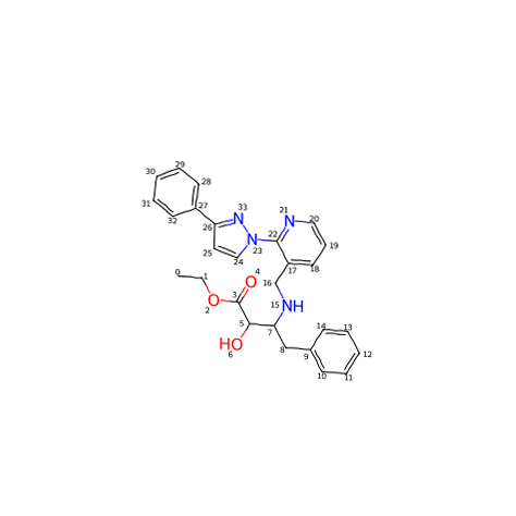 CCOC(=O)C(O)C(Cc1ccccc1)NCc1cccnc1-n1ccc(-c2ccccc2)n1